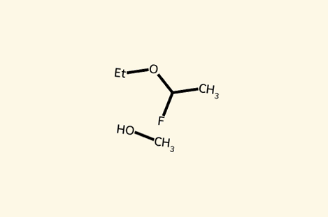 CCOC(C)F.CO